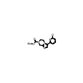 CC(C)(C)OC(=O)N1CCn2c(-c3cccc(Cl)n3)cnc2C1